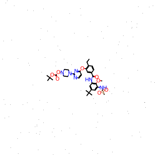 CCc1ccc(C(=O)Nc2cc(C(C)(C)C)cc(NS(C)(=O)=O)c2OC)cc1Oc1ccnc(N2CCN(OC(=O)OC(C)(C)C)CC2)n1